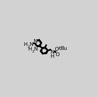 Cc1c(CNC(=O)OC(C)(C)C)cccc1-c1ccnc(N)c1N